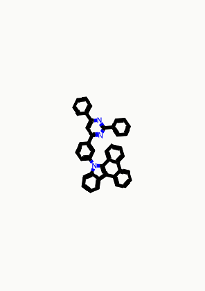 c1ccc(-c2cc(-c3cccc(-n4c5ccccc5c5c6ccccc6c6ccccc6c54)c3)nc(-c3ccccc3)n2)cc1